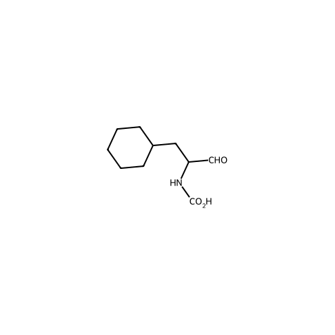 O=CC(CC1CCCCC1)NC(=O)O